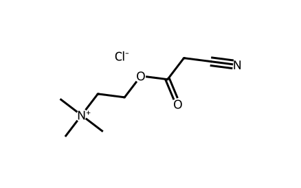 C[N+](C)(C)CCOC(=O)CC#N.[Cl-]